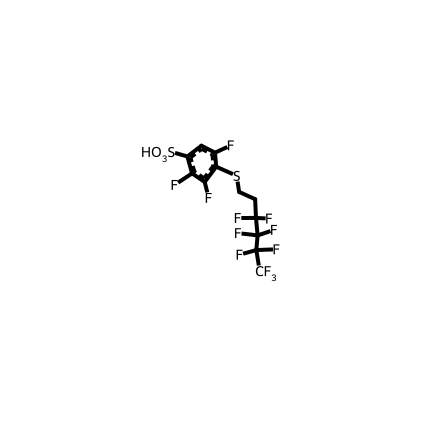 O=S(=O)(O)c1cc(F)c(SCCC(F)(F)C(F)(F)C(F)(F)C(F)(F)F)c(F)c1F